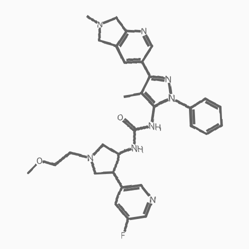 COCCN1CC(NC(=O)Nc2c(C)c(-c3cnc4c(c3)CN(C)C4)nn2-c2ccccc2)C(c2cncc(F)c2)C1